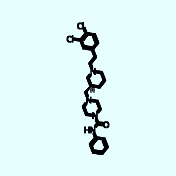 O=C(Nc1ccccc1)N1CCN(C[C@@H]2CCCN(CCc3ccc(Cl)c(Cl)c3)C2)CC1